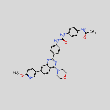 COc1ccc(-c2ccc3c(N4CCOCC4)nc(-c4ccc(NC(=O)Nc5ccc(NC(C)=O)cc5)cc4)nc3c2)cn1